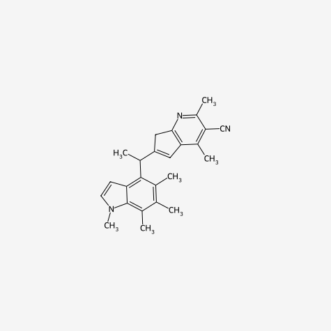 Cc1nc2c(c(C)c1C#N)C=C(C(C)c1c(C)c(C)c(C)c3c1ccn3C)C2